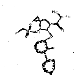 C[C@H](C#N)C(=O)N1CC2(CC2)[C@H](NS(=O)(=O)CF)[C@@H]1Cc1cccc(-c2ccccc2)c1F